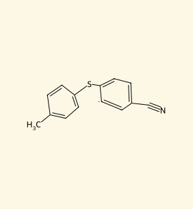 Cc1ccc(Sc2[c]cc(C#N)cc2)cc1